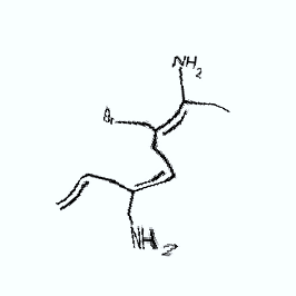 C=C/C(N)=C\C(Br)=C(/C)N